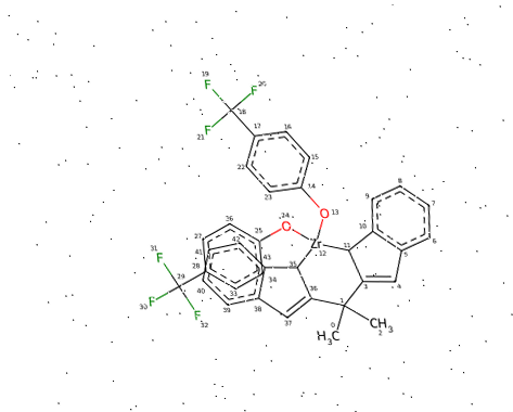 CC1(C)C2=Cc3ccccc3[CH]2[Zr]([O]c2ccc(C(F)(F)F)cc2)([O]c2ccc(C(F)(F)F)cc2)[CH]2C1=Cc1ccccc12